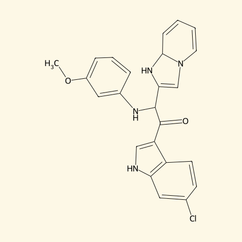 COc1cccc(NC(C(=O)c2c[nH]c3cc(Cl)ccc23)C2=CN3C=CC=CC3N2)c1